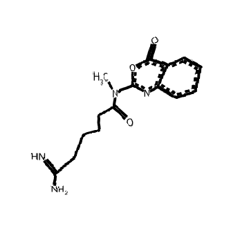 CN(C(=O)CCCCC(=N)N)c1nc2ccccc2c(=O)o1